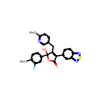 COc1ccc(CC2=C(c3ccc4nsnc4c3)C(=O)OC2(O)c2ccc(OC)c(F)c2)cn1